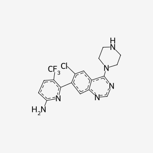 Nc1ccc(C(F)(F)F)c(-c2cc3ncnc(N4CCNCC4)c3cc2Cl)n1